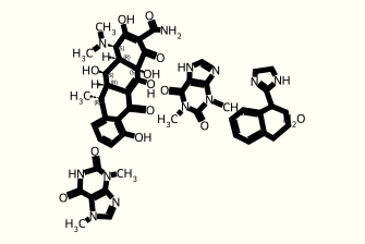 C[C@H]1c2cccc(O)c2C(=O)C2=C(O)[C@]3(O)C(=O)C(C(N)=O)=C(O)[C@@H](N(C)C)[C@@H]3[C@@H](O)[C@@H]21.Cn1c(=O)c2[nH]cnc2n(C)c1=O.Cn1cnc2c1c(=O)[nH]c(=O)n2C.O.c1ccc2c(c1)CCCC2C1=NCCN1